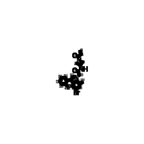 C=CC(=O)N1CC(NC(=O)Cn2cc(-c3ccccc3C(C)C)c3cc(Br)cc(C)c32)C1